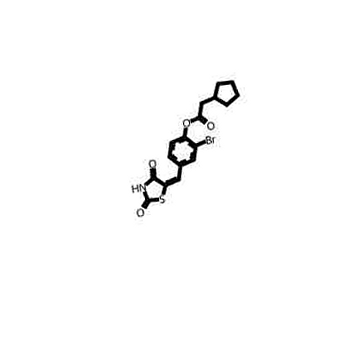 O=C(CC1CCCC1)Oc1ccc(C=C2SC(=O)NC2=O)cc1Br